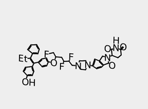 CCC(=C(c1ccc(O)cc1)c1ccc(OC(CF)CC(F)C(F)CN2CCN(c3ccc4c(c3)CN(C3CCC(=O)NC3=O)C4=O)CC2)cc1)c1ccccc1